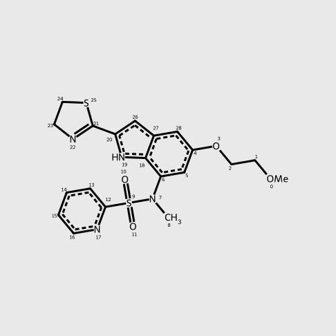 COCCOc1cc(N(C)S(=O)(=O)c2ccccn2)c2[nH]c(C3=NCCS3)cc2c1